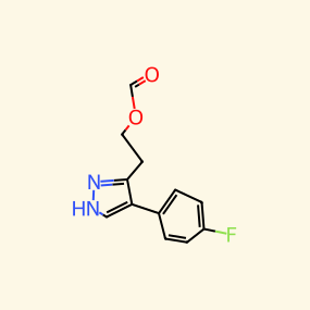 O=COCCc1n[nH]cc1-c1ccc(F)cc1